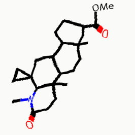 COC(=O)C1CCC2C3CC4(CC4)C4N(C)C(=O)CCC4(C)C3CCC12C